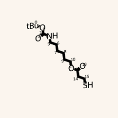 CC(C)(C)OC(=O)NCCCCCCOC(=O)CCS